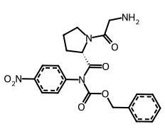 NCC(=O)N1CCC[C@H]1C(=O)N(C(=O)OCc1ccccc1)c1ccc([N+](=O)[O-])cc1